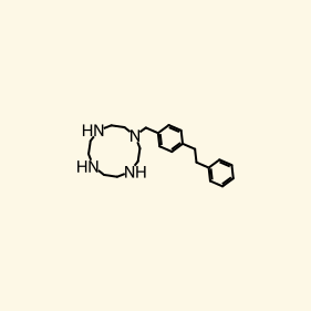 c1ccc(CCc2ccc(CN3CCNCCNCCNCC3)cc2)cc1